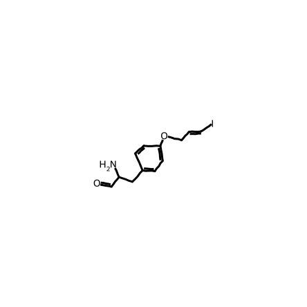 NC(C=O)Cc1ccc(OC/C=C/I)cc1